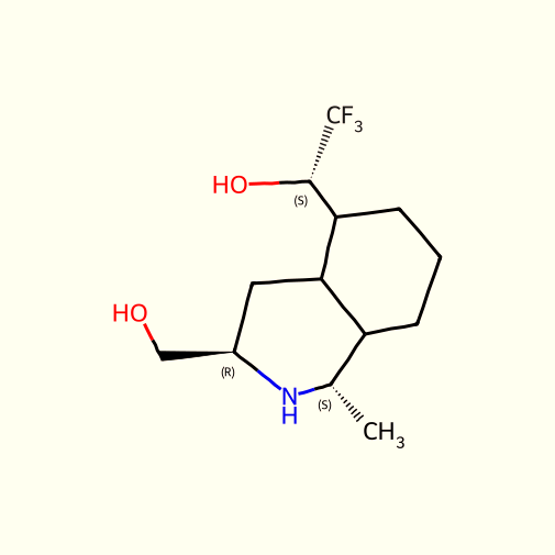 C[C@@H]1N[C@@H](CO)CC2C1CCCC2[C@H](O)C(F)(F)F